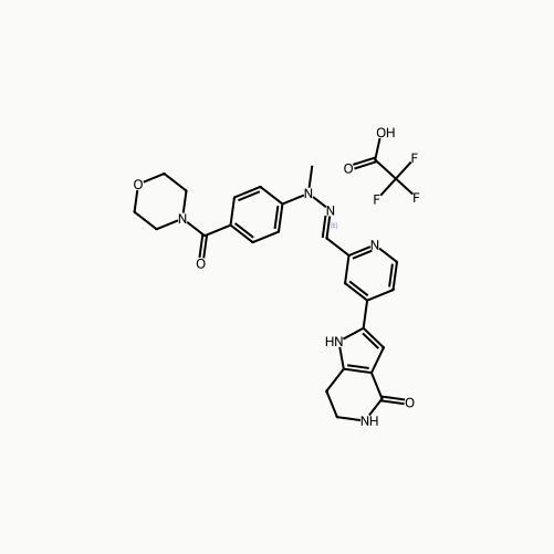 CN(/N=C/c1cc(-c2cc3c([nH]2)CCNC3=O)ccn1)c1ccc(C(=O)N2CCOCC2)cc1.O=C(O)C(F)(F)F